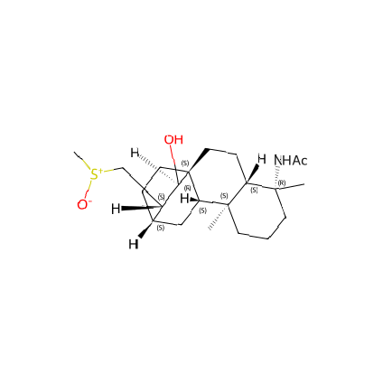 CC(=O)N[C@]1(C)CCC[C@@]2(C)[C@@H]3C[C@@H]4CC[C@@]3(CC[C@@H]21)[C@H](O)[C@H]4C[S+](C)[O-]